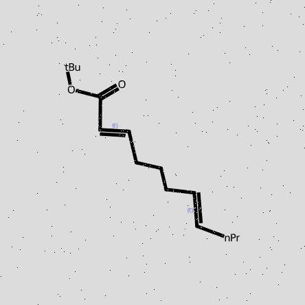 CCC/C=C/CCC/C=C/C(=O)OC(C)(C)C